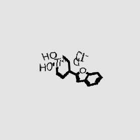 [Cl-].[Cl-].[OH][Ti+2]1([OH])[CH2]CC(c2cc3ccccc3o2)C[CH2]1